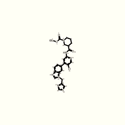 CC(C)(C)OC(=O)N1CCCC(C(=O)Nc2cc(-c3ccc4ncn(Cc5cscn5)c4c3)c(Cl)cn2)C1